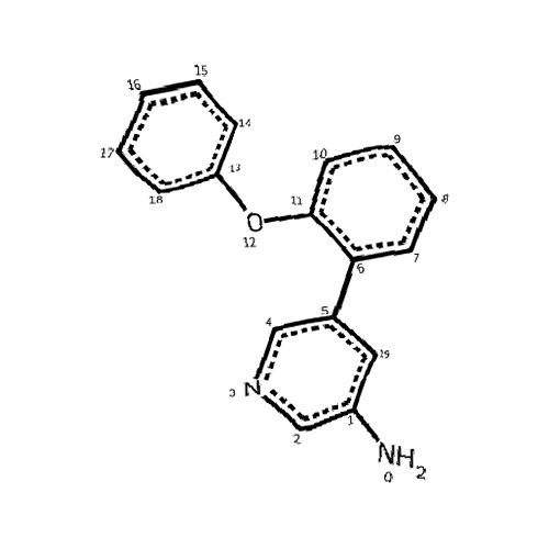 Nc1cncc(-c2ccccc2Oc2ccccc2)c1